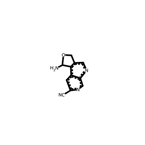 N#Cc1cc2c3c(cnc2cn1)COC3N